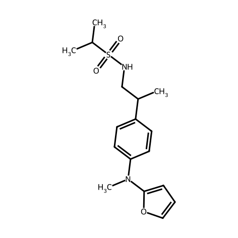 CC(CNS(=O)(=O)C(C)C)c1ccc(N(C)c2ccco2)cc1